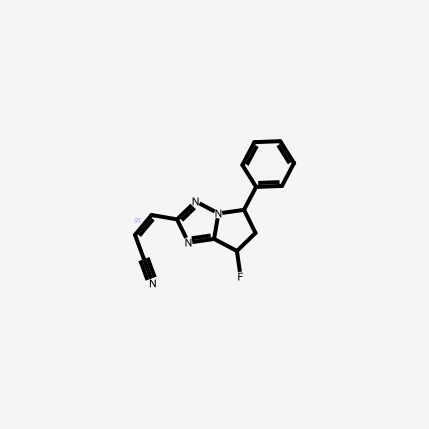 N#C/C=C\c1nc2n(n1)C(c1ccccc1)CC2F